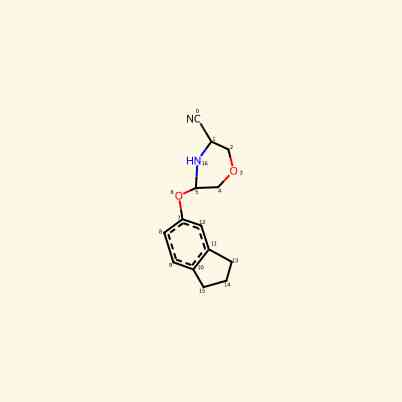 N#CC1COCC(Oc2ccc3c(c2)CCC3)N1